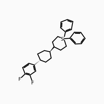 Fc1ccc([C@H]2CC[C@H](C3CC[Si](c4ccccc4)(c4ccccc4)CC3)CC2)cc1F